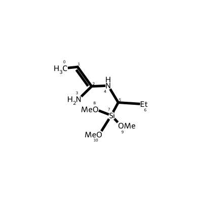 CC=C(N)NC(CC)[Si](OC)(OC)OC